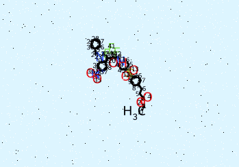 CCOC(=O)CCc1ccc(S(=O)(=O)C2CCN(CC(O)(c3cn(Cc4ccccc4)c4cc([N+](=O)[O-])ccc34)C(F)(F)F)CC2)cc1